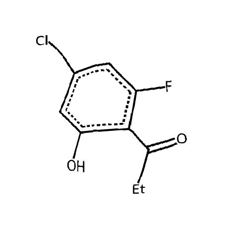 CCC(=O)c1c(O)cc(Cl)cc1F